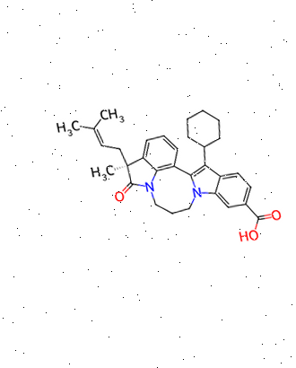 CC(C)=CC[C@]1(C)C(=O)N2CCCn3c(c(C4CCCCC4)c4ccc(C(=O)O)cc43)-c3cccc1c32